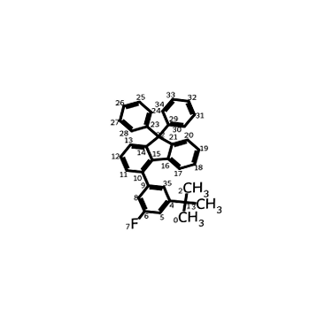 CC(C)(C)c1cc(F)cc(-c2cccc3c2-c2ccccc2C3(c2ccccc2)c2ccccc2)c1